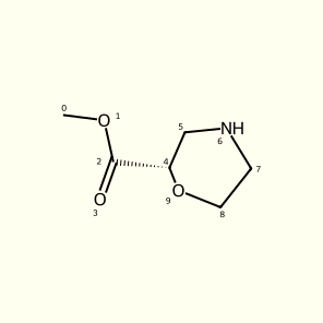 COC(=O)[C@@H]1CNCCO1